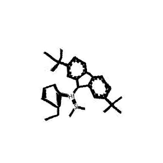 CCC1=[C]([Hf]([CH]2c3cc(C(C)(C)C)ccc3-c3ccc(C(C)(C)C)cc32)=[Si](C)C)CC=C1